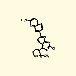 C[C@H]1COCCN1c1nc(Cl)nc2nc(-c3ccc4ccc(N)nc4c3)ccc12